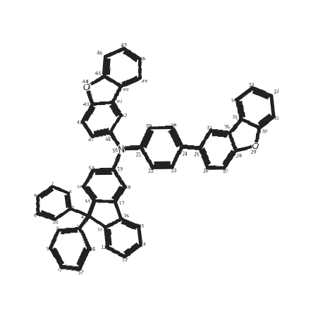 c1ccc(C2(c3ccccc3)c3ccccc3-c3cc(N(c4ccc(-c5ccc6oc7ccccc7c6c5)cc4)c4ccc5oc6ccccc6c5c4)ccc32)cc1